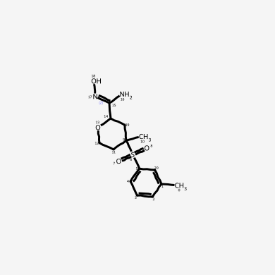 Cc1cccc(S(=O)(=O)C2(C)CCOC(/C(N)=N/O)C2)c1